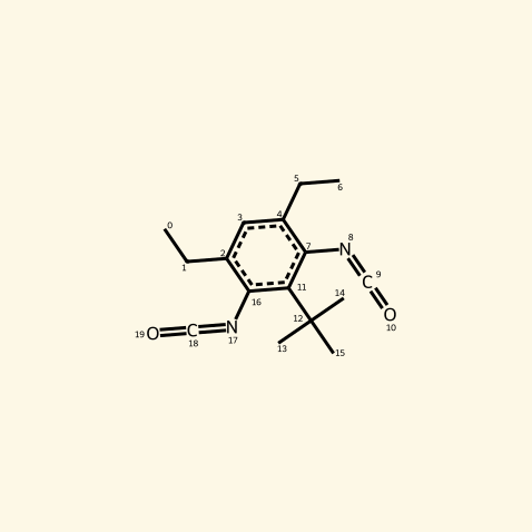 CCc1cc(CC)c(N=C=O)c(C(C)(C)C)c1N=C=O